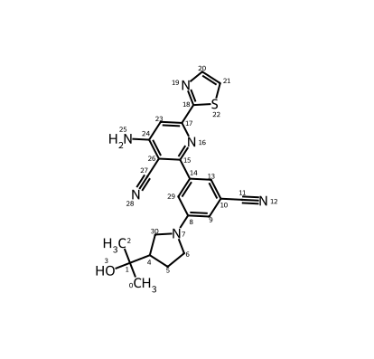 CC(C)(O)C1CCN(c2cc(C#N)cc(-c3nc(-c4nccs4)cc(N)c3C#N)c2)C1